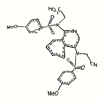 COc1ccc(S(=O)(=O)N(CC#N)c2cnc(N(CC(=O)O)S(=O)(=O)c3ccc(OC)cc3)c3ccccc23)cc1